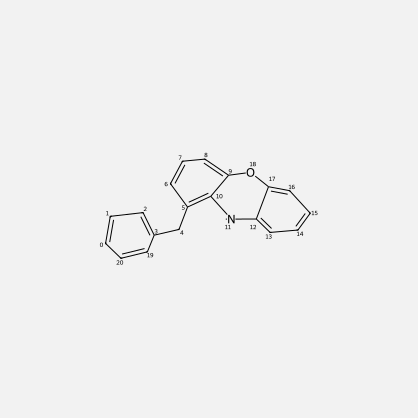 c1ccc(Cc2cccc3c2[N]c2ccccc2O3)cc1